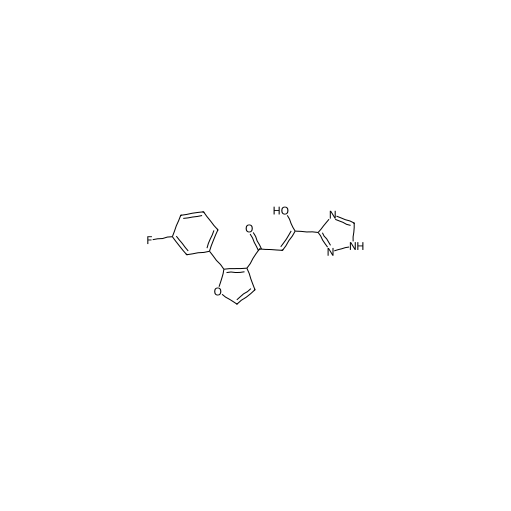 O=C(C=C(O)c1nc[nH]n1)c1ccoc1-c1cccc(F)c1